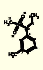 CCN(c1cccc(C)c1)S(C)(=O)=O